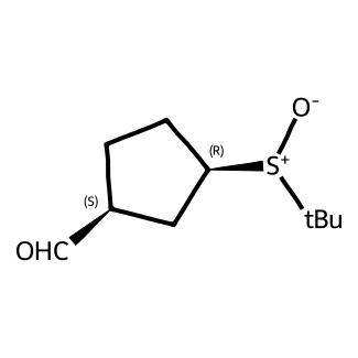 CC(C)(C)[S+]([O-])[C@@H]1CC[C@H](C=O)C1